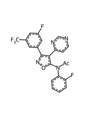 CC(=O)N(c1ccccc1F)c1onc(-c2cc(F)cc(C(F)(F)F)c2)c1-c1ccncn1